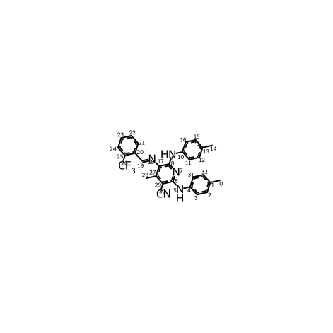 Cc1ccc(Nc2nc(Nc3ccc(C)cc3)c(/N=C/c3ccccc3C(F)(F)F)c(C)c2C#N)cc1